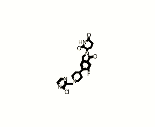 O=C1CCC(N2Cc3cc(C4CCN(Cc5nccnc5Cl)CC4)c(F)cc3C2=O)C(=O)N1